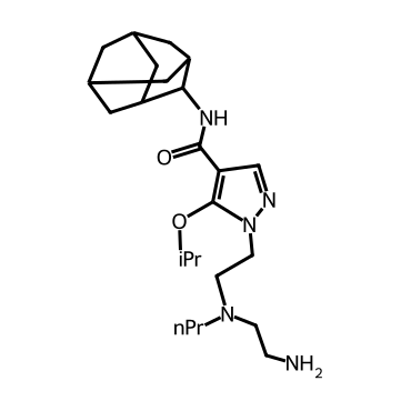 CCCN(CCN)CCn1ncc(C(=O)NC2C3CC4CC(C3)CC2C4)c1OC(C)C